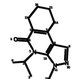 CC(C)n1c(=O)c2c(c3cnn(C)c31)CCCC2